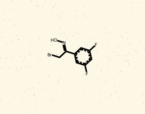 O/N=C(\CBr)c1cc(F)cc(F)c1